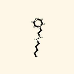 CCCCCSSCCN1CCOCC1